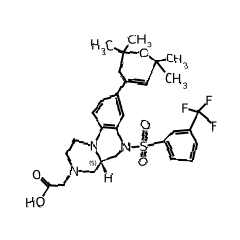 CC1(C)C=C(c2ccc3c(c2)N(S(=O)(=O)c2cccc(C(F)(F)F)c2)C[C@@H]2CN(CC(=O)O)CCN32)CC(C)(C)O1